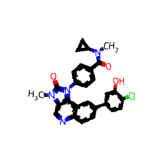 CN(C(=O)c1ccc(-n2c(=O)n(C)c3cnc4ccc(-c5ccc(Cl)c(O)c5)cc4c32)cc1)C1CC1